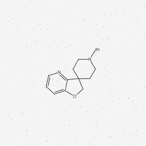 CC(C)N1CCC2(CC1)COc1cccnc12